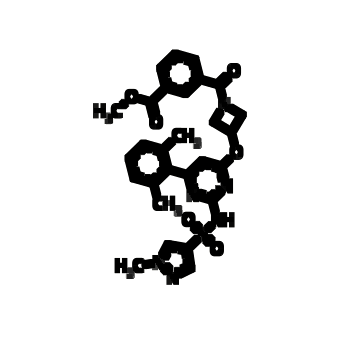 COC(=O)c1cccc(C(=O)N2CC(Oc3cc(-c4c(C)cccc4C)nc(NS(=O)(=O)c4cnn(C)c4)n3)C2)c1